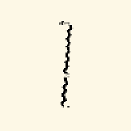 CCCCCCCCCCCCCCCCCCCCCCOCCCCCCCC(C)C